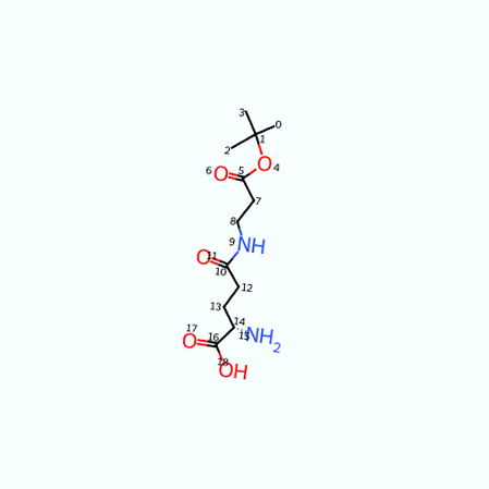 CC(C)(C)OC(=O)CCNC(=O)CC[C@H](N)C(=O)O